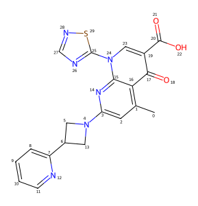 Cc1cc(N2CC(c3ccccn3)C2)nc2c1c(=O)c(C(=O)O)cn2-c1ncns1